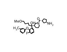 COCCCCC(O)(c1cccc(F)c1Oc1cccc(C)c1)[C@@H]1CCCN(C(=O)[C@@H]2CC[C@H](N)C2)C1